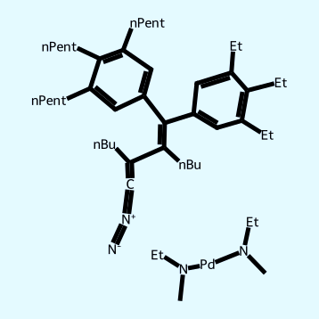 CCCCCc1cc(C(=C(CCCC)C(=C=[N+]=[N-])CCCC)c2cc(CC)c(CC)c(CC)c2)cc(CCCCC)c1CCCCC.CC[N](C)[Pd][N](C)CC